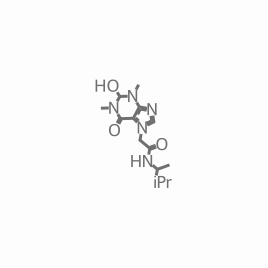 CC(C)C(C)NC(=O)Cn1cnc2c1C(=O)N(C)C(O)N2C